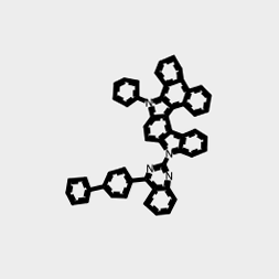 c1ccc(-c2ccc(-c3nc(-n4c5ccccc5c5c6c7c8ccccc8c8ccccc8c7n(-c7ccccc7)c6ccc54)nc4ccccc34)cc2)cc1